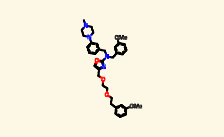 COc1cccc(CCOCCOCc2coc(N(Cc3cccc(OC)c3)Cc3cccc(N4CCN(C)CC4)c3)n2)c1